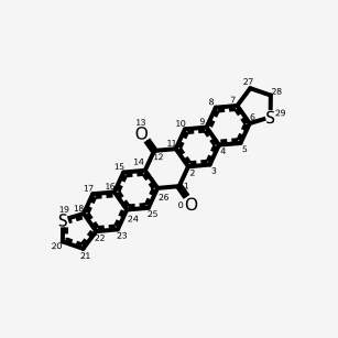 O=C1c2cc3cc4c(cc3cc2C(=O)c2cc3cc5sccc5cc3cc21)CCS4